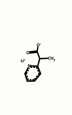 CC(C(=O)[O-])c1ccccn1.[Li+]